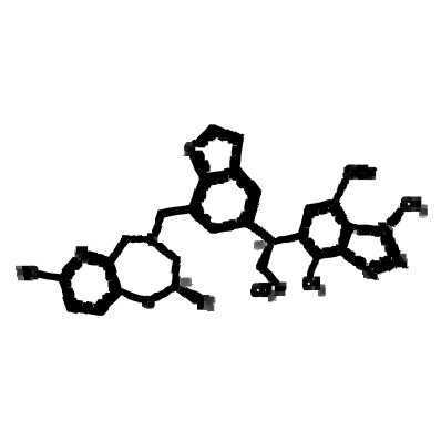 CC[C@@H]1CN(Cc2cc([C@H](CC(=O)O)c3cc(OC)c4c(nnn4C)c3C)cc3ccsc23)Cc2nc(O)ccc2O1